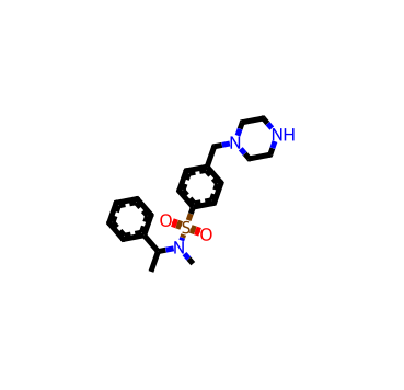 CC(c1ccccc1)N(C)S(=O)(=O)c1ccc(CN2CCNCC2)cc1